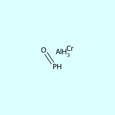 O=P.[AlH3].[Cr]